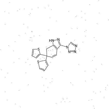 C1=CC(c2cccs2)(c2cccs2)Cc2[nH]nc(-n3cnnn3)c21